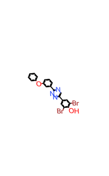 Oc1c(Br)cc(-c2cnc(-c3cccc(Oc4ccccc4)c3)nn2)cc1Br